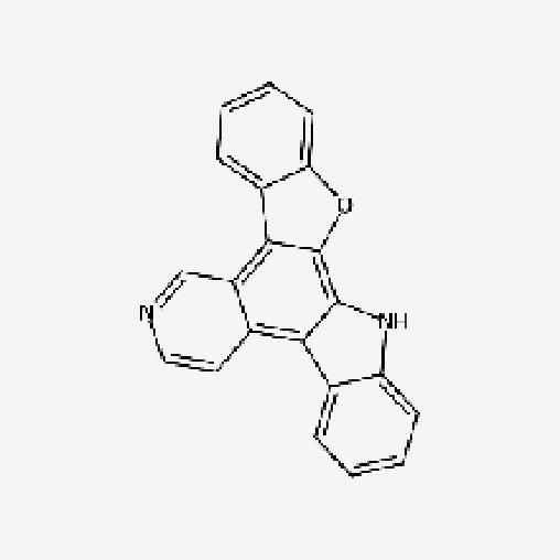 c1ccc2c(c1)[nH]c1c3oc4ccccc4c3c3cnccc3c21